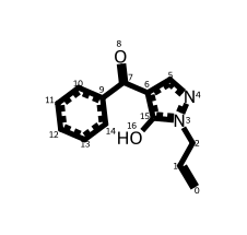 C=CCn1ncc(C(=O)c2ccccc2)c1O